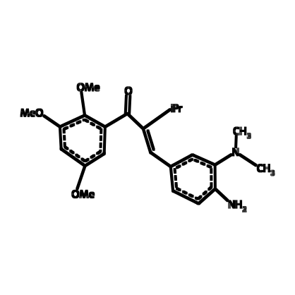 COc1cc(OC)c(OC)c(C(=O)C(=Cc2ccc(N)c(N(C)C)c2)C(C)C)c1